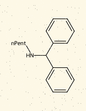 CCCCCNC(c1ccccc1)c1ccccc1